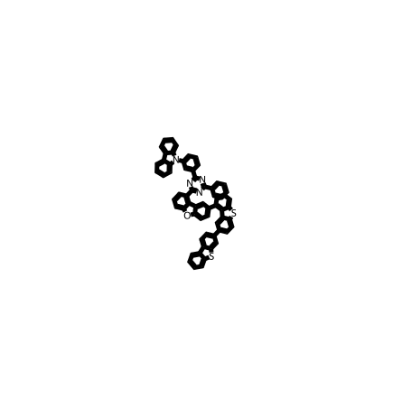 c1ccc(-c2nc(-c3cccc(-n4c5ccccc5c5ccccc54)c3)nc(-c3cccc4oc5ccc(-c6cccc7sc8ccc(-c9ccc%10c(c9)sc9ccccc9%10)cc8c67)cc5c34)n2)cc1